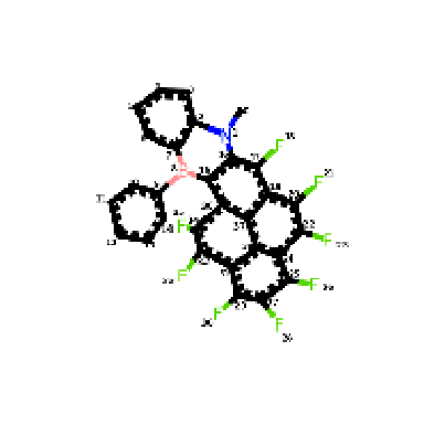 CN1c2ccccc2B(c2ccccc2)c2c1c(F)c1c(F)c(F)c3c(F)c(F)c(F)c4c(F)c(F)c2c1c34